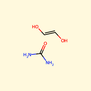 NC(N)=O.OC=CO